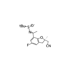 C/C(=N\[S@+]([O-])C(C)(C)C)c1cc(F)cc2c1O[C@@](C)(CC#N)C2